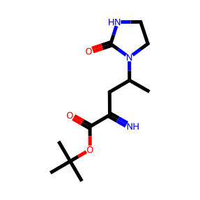 CC(CC(=N)C(=O)OC(C)(C)C)N1CCNC1=O